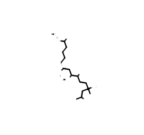 CCC(CCCC[C@H]1CC(C(O)CCC(C)(O)CC(C)O)OSO1)OSO